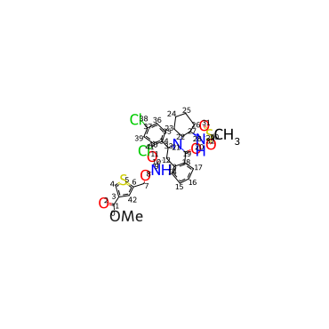 COC(=O)c1csc(CONC(=O)[C@H]2c3ccccc3C(=O)N([C@@H]3CCCC[C@H]3NS(C)(=O)=O)C2c2ccc(Cl)cc2Cl)c1